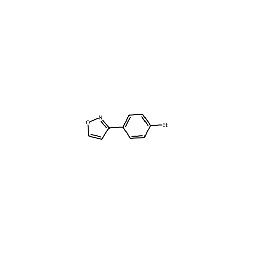 CCc1ccc(-c2ccon2)cc1